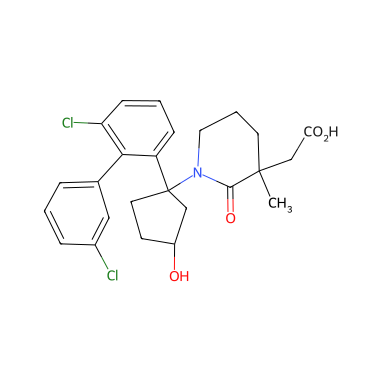 CC1(CC(=O)O)CCCN(C2(c3cccc(Cl)c3-c3cccc(Cl)c3)CCC(O)C2)C1=O